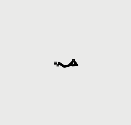 BCC1CO1